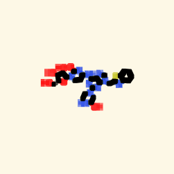 O=c1nc(Nc2nc(N3CCNC(O)C3)nc3c2ncn3Cc2nc3ccccc3s2)ccn1C1O[C@H](CO)[C@@H](O)[C@H]1O